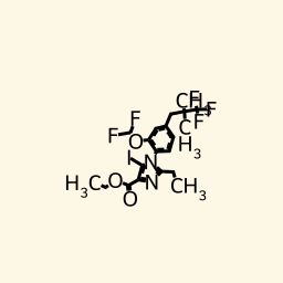 CCOC(=O)c1nc(CC)n(-c2ccc(CC(C)(C)C(F)(F)F)cc2OC(F)F)c1I